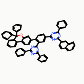 c1ccc(-c2nc(-c3ccc(-c4ccc5c(c4)OC(c4ccccc4)(c4ccccc4)c4ccccc4-5)c(-c4nc(-c5ccccc5)nc(-c5ccccc5)n4)c3)nc(-c3ccc4ccccc4c3)n2)cc1